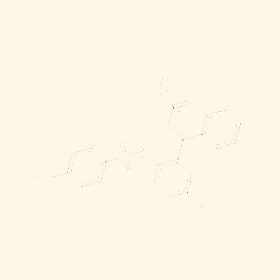 COc1ccc(S(=O)(=O)Nc2ccc([N+](=O)[O-])cc2/C(=C/C(=O)NO)c2ccccc2)cc1